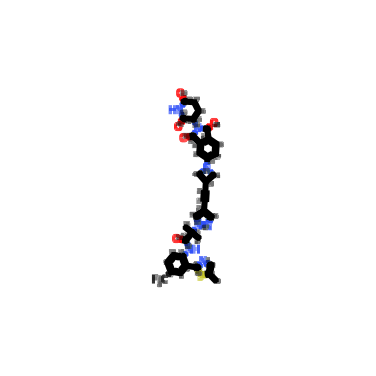 Cc1cnc(-c2cc(C(F)(F)F)ccc2NC(=O)C(C)(C)n2cc(C#CC3CN(c4ccc5c(c4)C(=O)N(C4CCC(=O)NC4=O)C5=O)C3)cn2)s1